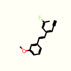 C#C/C=C(/C=C/c1cccc(OC)c1)\C=C(/C)F